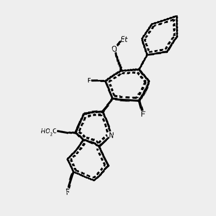 CCOc1c(-c2ccccc2)cc(F)c(-c2cc(C(=O)O)c3cc(F)ccc3n2)c1F